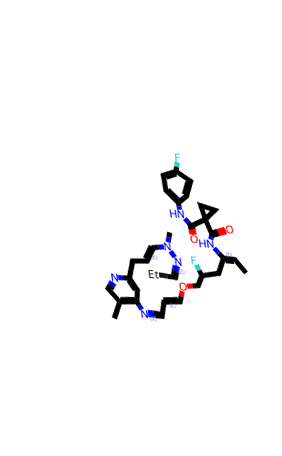 C/C=C(\CC(F)CO/C=C/C=N\c1cc(C/C=C/N(C)/N=C\CC)ncc1C)NC(=O)C1(C(=O)Nc2ccc(F)cc2)CC1